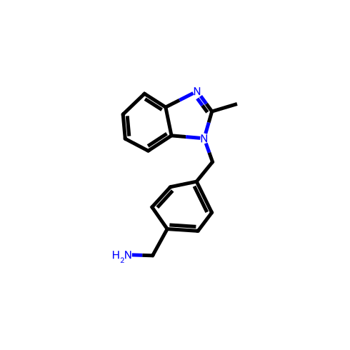 Cc1nc2ccccc2n1Cc1ccc(CN)cc1